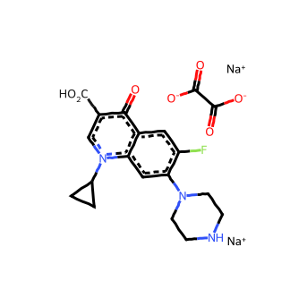 O=C(O)c1cn(C2CC2)c2cc(N3CCNCC3)c(F)cc2c1=O.O=C([O-])C(=O)[O-].[Na+].[Na+]